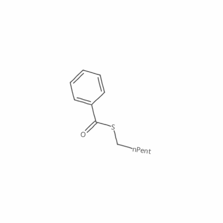 CCCCCCSC(=O)c1ccccc1